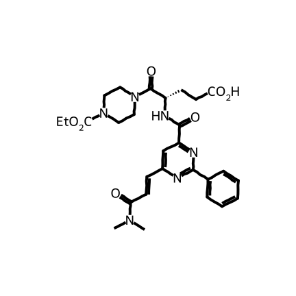 CCOC(=O)N1CCN(C(=O)[C@H](CCC(=O)O)NC(=O)c2cc(/C=C/C(=O)N(C)C)nc(-c3ccccc3)n2)CC1